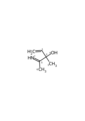 C=CC(C)(O)C(C)=N